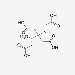 NC(CC(=O)O)C(CC(=O)O)(CC(=O)O)NCC(=O)O